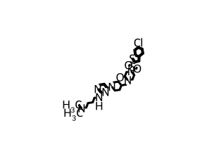 CN(C)CCCCNc1nccc(N2CCC(CN3CCN(S(=O)(=O)c4cc5ccc(Cl)cc5s4)CC3=O)CC2)n1